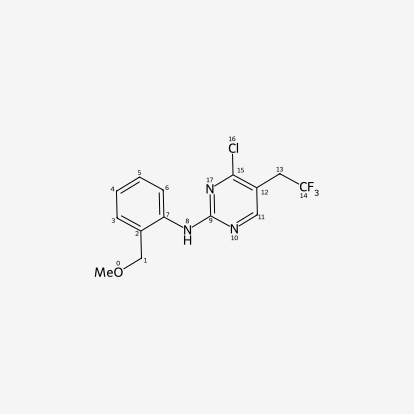 COCc1ccccc1Nc1ncc(CC(F)(F)F)c(Cl)n1